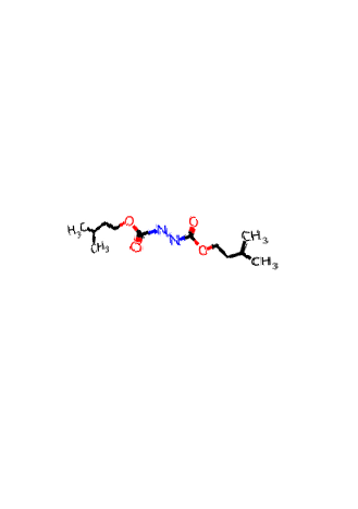 CC(C)CCOC(=O)N=NC(=O)OCCC(C)C